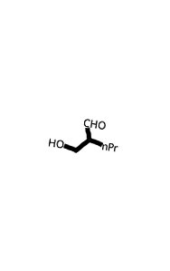 [CH2]CCC(C=O)CO